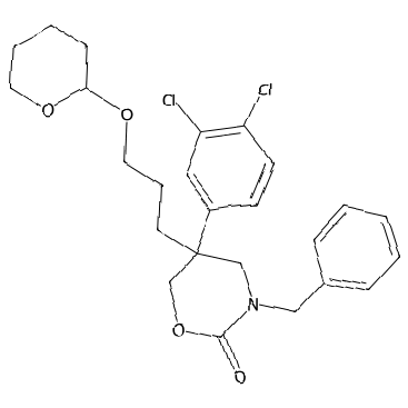 O=C1OCC(CCCOC2CCCCO2)(c2ccc(Cl)c(Cl)c2)CN1Cc1ccccc1